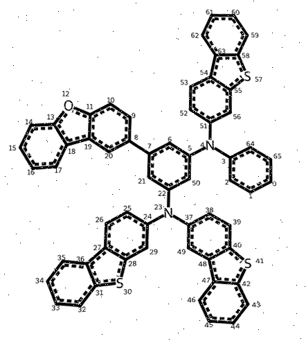 c1ccc(N(c2cc(-c3ccc4oc5ccccc5c4c3)cc(N(c3ccc4c(c3)sc3ccccc34)c3ccc4sc5ccccc5c4c3)c2)c2ccc3c(c2)sc2ccccc23)cc1